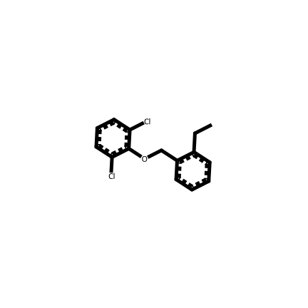 CCc1ccccc1COc1c(Cl)cccc1Cl